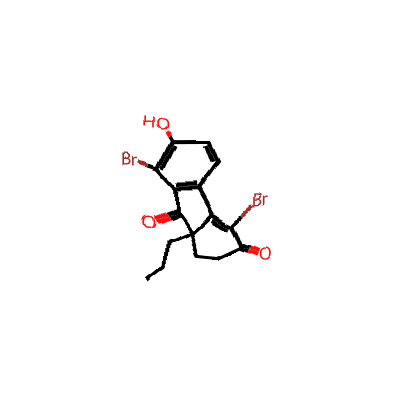 CCCC12CCC(=O)C(Br)=C1c1ccc(O)c(Br)c1C2=O